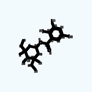 CCC1(C)CC(OC(=O)c2cc(I)cc(I)c2I)CC(C)(CC)N1C